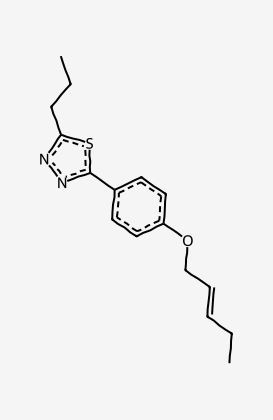 CCC=CCOc1ccc(-c2nnc(CCC)s2)cc1